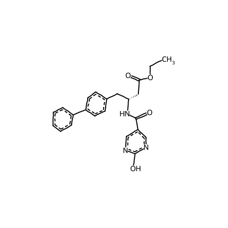 CCOC(=O)C[C@@H](Cc1ccc(-c2ccccc2)cc1)NC(=O)c1cnc(O)nc1